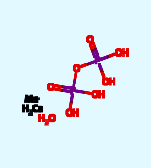 O.O=P(O)(O)OP(=O)(O)O.[CaH2].[Mn]